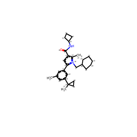 Cc1cc(-c2cc(C(=O)NC3CCC3)c(C)n2CC2CCCCC2)cc(C2(C)CC2)c1